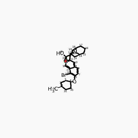 C[C@H]1CC[C@@H](Oc2ccc3cc(CN4C5CCCC4CC(C(=O)O)C5)ncc3c2Br)CC1